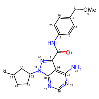 COCc1ccc(NC(=O)c2nn(C3CCC(C)C3)c3ncnc(N)c23)cc1